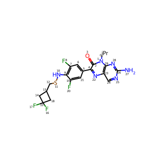 CC(C)n1c(=O)c(-c2cc(F)c(NSCC3CC(F)(F)C3)c(F)c2)nc2cnc(N)nc21